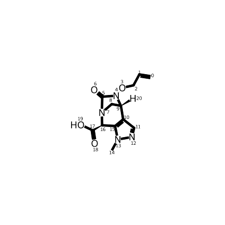 C=CCON1C(=O)N2C[C@H]1c1cnn(C)c1[C@H]2C(=O)O